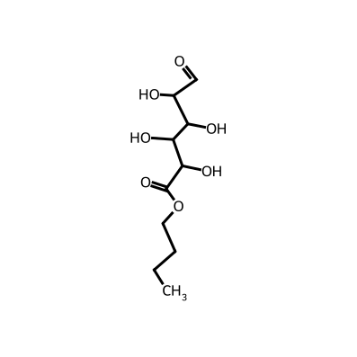 CCCCOC(=O)C(O)C(O)C(O)C(O)C=O